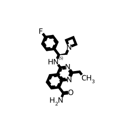 CCc1nc(N[C@H](CN2CCC2)c2ccc(F)cc2)c2cccc(C(N)=O)c2n1